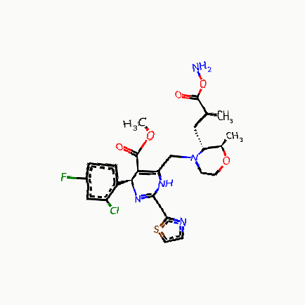 COC(=O)C1=C(CN2CCO[C@H](C)[C@H]2CC(C)C(=O)ON)NC(c2nccs2)=N[C@H]1c1ccc(F)cc1Cl